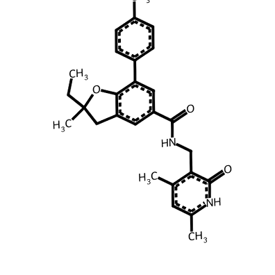 CCC1(C)Cc2cc(C(=O)NCc3c(C)cc(C)[nH]c3=O)cc(-c3ccc(C)cc3)c2O1